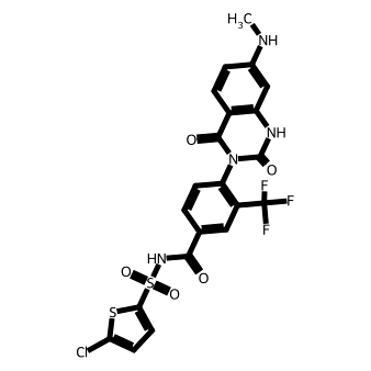 CNc1ccc2c(=O)n(-c3ccc(C(=O)NS(=O)(=O)c4ccc(Cl)s4)cc3C(F)(F)F)c(=O)[nH]c2c1